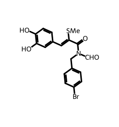 CS/C(=C\c1ccc(O)c(O)c1)C(=O)N(C=O)Cc1ccc(Br)cc1